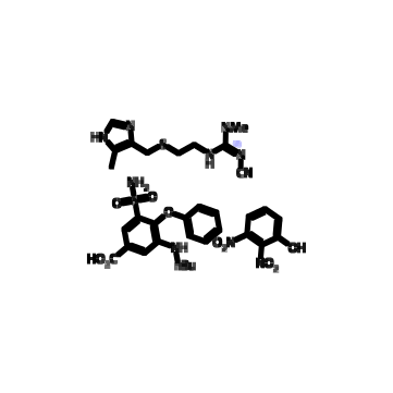 CCCCNc1cc(C(=O)O)cc(S(N)(=O)=O)c1Oc1ccccc1.CN/C(=N/C#N)NCCSCc1nc[nH]c1C.O=[N+]([O-])c1cccc(O)c1[N+](=O)[O-]